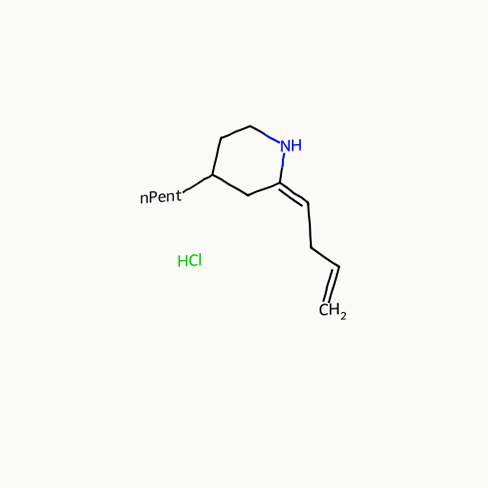 C=CC/C=C1\CC(CCCCC)CCN1.Cl